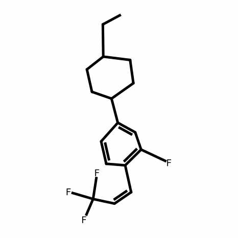 CCC1CCC(c2ccc(/C=C\C(F)(F)F)c(F)c2)CC1